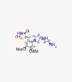 COc1cc(/C=C2\SC(=O)NC2=O)c(N2CCC(NCCN)C2)cc1OC